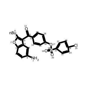 CCCCc1oc2ccc(N)cc2c1C(=O)c1ccc(OS(=O)(=O)c2ccc(Cl)cc2)cc1